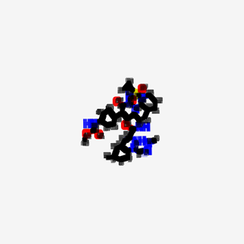 C=N/N=C\N(N)c1ccc(C)cc1/C=C/C(=O)N[C@@H](CC1CCCN(S(=O)(=O)C2CC2)C1)c1cc(-c2ccc(NC(=O)OC)cc2)c(=O)[nH]n1